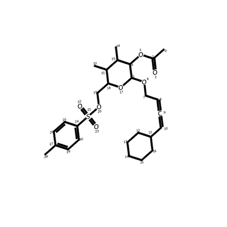 CC(=O)OC1C(OCC=C=CC2CCCCC2)OC(COS(=O)(=O)c2ccc(C)cc2)C(C)C1C